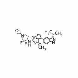 COc1nc(NC2CCN(C3COC3)CC2(F)F)nn2ccc(-c3ccc4nnn(C(C)C)c4c3)c12